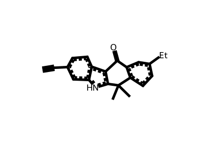 C#Cc1ccc2c3c([nH]c2c1)C(C)(C)c1ccc(CC)cc1C3=O